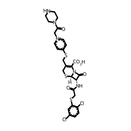 O=C(CSc1cc(Cl)ccc1Cl)N[C@H]1C(=O)N2C(C(=O)O)=C(CSc3cc[n+](CC(=O)N4CCNCC4)cc3)CS[C@H]12